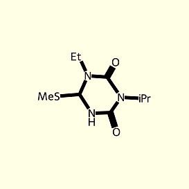 CCN1C(=O)N(C(C)C)C(=O)NC1SC